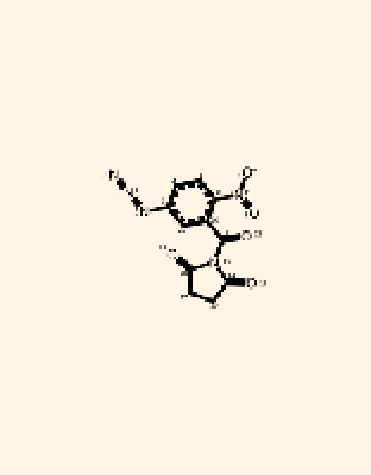 [N-]=[N+]=Nc1ccc([N+](=O)[O-])c(C(=O)N2C(=O)CCC2=O)c1